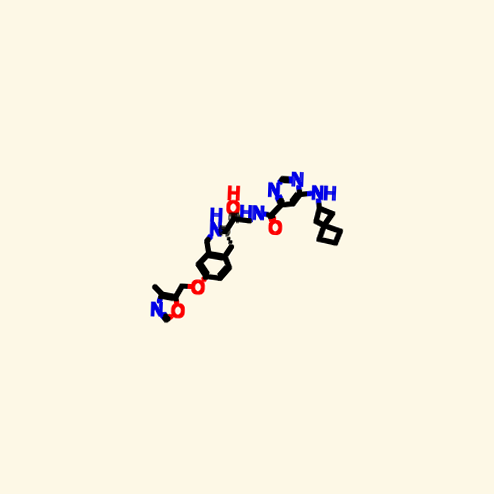 Cc1ncoc1COc1ccc2c(c1)CN[C@H]([C@H](O)CNC(=O)c1cc(NC3CC4(CCC4)C3)ncn1)C2